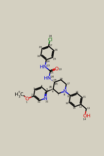 COc1ccc([C@@H]2CN(c3ccc(CO)cc3)CC[C@H]2NC(=O)Nc2ccc(Cl)cc2)nc1